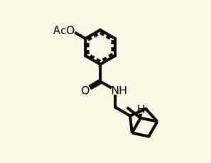 CC(=O)Oc1cccc(C(=O)NCC2CC3CC2[C@@H]3C)c1